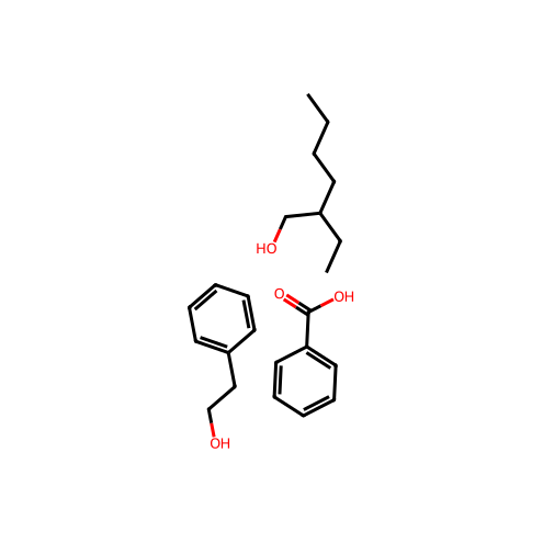 CCCCC(CC)CO.O=C(O)c1ccccc1.OCCc1ccccc1